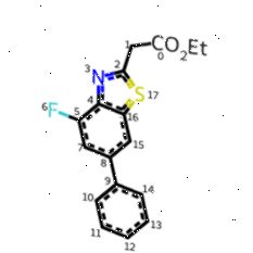 CCOC(=O)Cc1nc2c(F)cc(-c3ccccc3)cc2s1